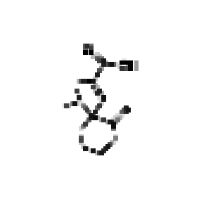 C=C1CCCCC1(/C=C(\C)C(=O)O)C(C)C